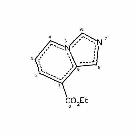 CCOC(=O)c1cccn2cncc12